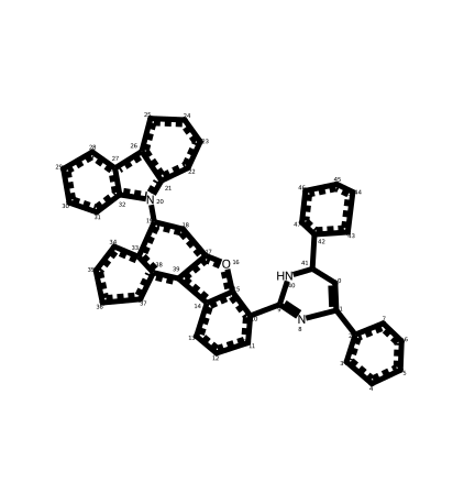 C1=C(c2ccccc2)N=C(c2cccc3c2oc2cc(-n4c5ccccc5c5ccccc54)c4ccccc4c23)NC1c1ccccc1